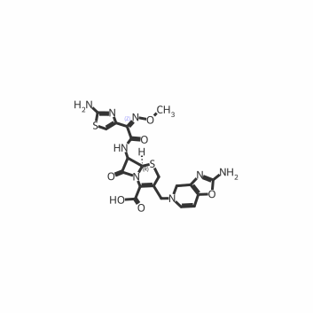 CO/N=C(\C(=O)NC1C(=O)N2C(C(=O)O)=C(CN3C=Cc4oc(N)nc4C3)CS[C@H]12)c1csc(N)n1